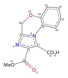 COC(=O)c1nc2n(c1C(=O)O)-c1ccccc1OC2